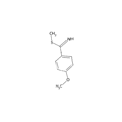 COc1ccc(C(=N)SC)cc1